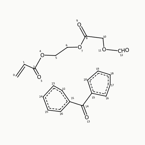 C=CC(=O)OCCOC(=O)COC=O.O=C(c1ccccc1)c1ccccc1